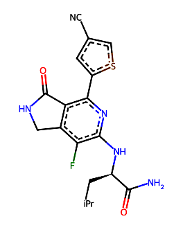 CC(C)C[C@@H](Nc1nc(-c2cc(C#N)cs2)c2c(c1F)CNC2=O)C(N)=O